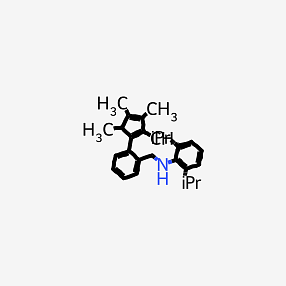 CC1=C(C)C(C)C(c2ccccc2CNc2c(C(C)C)cccc2C(C)C)=C1C